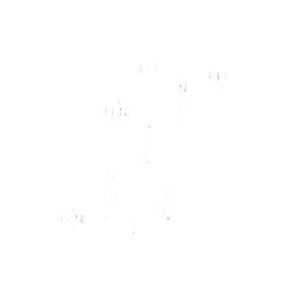 CN(C)CC(N)c1cccc([N+](=O)[O-])c1